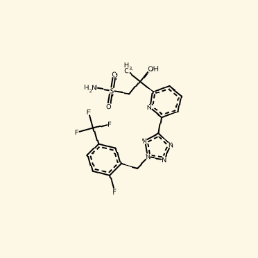 CC(O)(CS(N)(=O)=O)c1cccc(-c2nnn(Cc3cc(C(F)(F)F)ccc3F)n2)n1